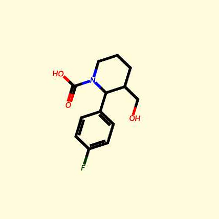 O=C(O)N1CCCC(CO)C1c1ccc(F)cc1